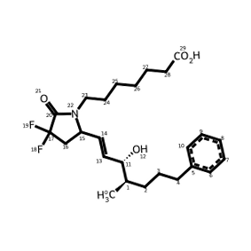 C[C@H](CCCc1ccccc1)[C@@H](O)C=CC1CC(F)(F)C(=O)N1CCCCCCC(=O)O